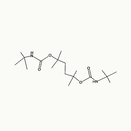 CC(C)(C)NC(=O)OC(C)(C)CCC(C)(C)OC(=O)NC(C)(C)C